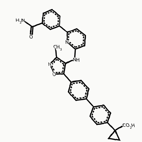 Cc1noc(-c2ccc(-c3ccc(C4(C(=O)O)CC4)cc3)cc2)c1Nc1cccc(-c2cccc(C(N)=O)c2)n1